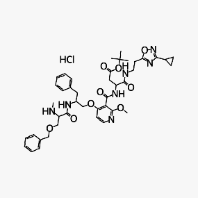 CNC(COCc1ccccc1)C(=O)NC(COc1ccnc(OC)c1C(=O)NC(CC(=O)OC(C)(C)C)C(=O)NCCc1nc(C2CC2)no1)Cc1ccccc1.Cl